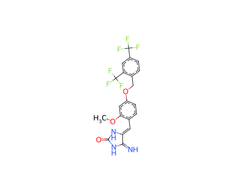 COc1cc(OCc2ccc(C(F)(F)F)cc2C(F)(F)F)ccc1C=C1NC(=O)NC1=N